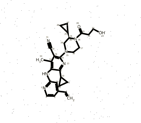 C=Cc1ccnc(Nc2c(C3CC3)nc(N3CCN(C(=O)CCO)[C@H](C4CC4)C3)c(C#N)c2C)c1